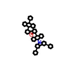 c1ccc(-c2ccc3c(c2)c2cc(-c4ccccc4)ccc2n3-c2c3ccccc3c(-c3cccc4c3oc3cccc(-c5c6ccccc6c(-c6ccccc6)c6ccccc56)c34)c3ccccc23)cc1